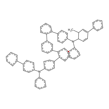 CC1C=C(c2ccccc2)C=CC1N(c1ccccc1)c1ccc(-c2ccccc2-c2cccc(-c3ccccc3-c3ccc(N(c4ccccc4)c4ccc(-c5ccccc5)cc4)cc3)c2)cc1